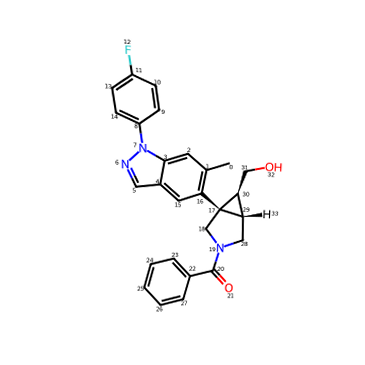 Cc1cc2c(cnn2-c2ccc(F)cc2)cc1[C@]12CN(C(=O)c3ccccc3)C[C@H]1[C@@H]2CO